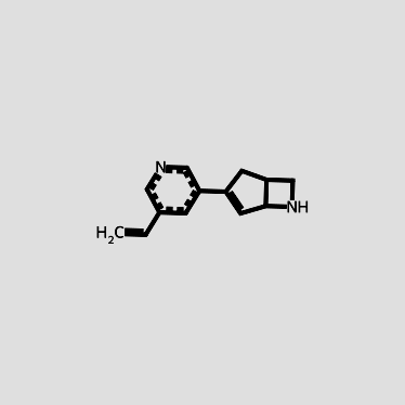 C=Cc1cncc(C2=CC3NCC3C2)c1